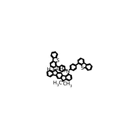 CC1(C)c2ccccc2-c2cc3c(cc21)-c1c(N(c2ccc(-c4cccc5c4sc4ccccc45)cc2)c2ccc(-c4cccc5c4sc4ccccc45)cc2)cccc1C3(C)C